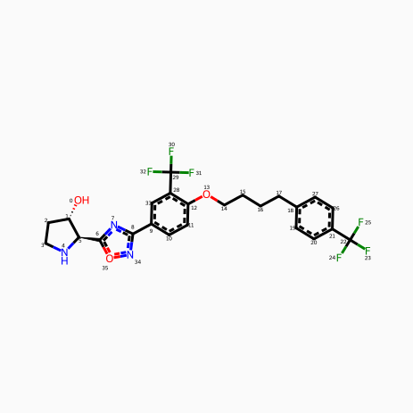 O[C@H]1CCN[C@@H]1c1nc(-c2ccc(OCCCCc3ccc(C(F)(F)F)cc3)c(C(F)(F)F)c2)no1